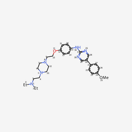 CCN(CC)CCN1CCN(CCOc2ccc(Nc3ncc(-c4ccc(OC)cc4)cn3)cc2)CC1